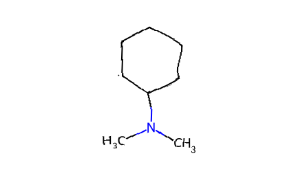 CN(C)C1[CH]CCCC1